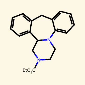 CCOC(=O)N1CCN2c3ccccc3Cc3ccccc3C2C1